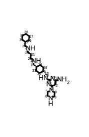 Nc1cc(N2CCNCC2)nc(NC[C@H]2CC[C@H](CNCCCNCC3CCCCC3)CC2)n1